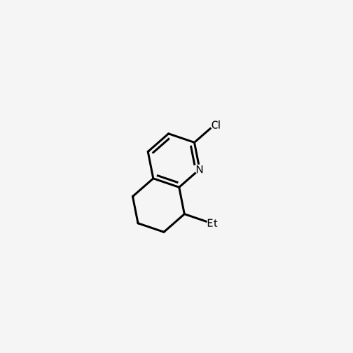 CCC1CCCc2ccc(Cl)nc21